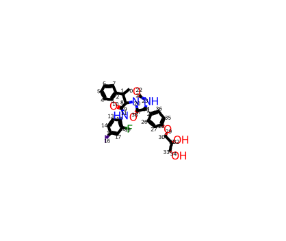 CC(c1ccccc1)C(C(=O)Nc1ccc(I)cc1F)N1C(=O)N[C@H](c2ccc(OCC(O)CO)cc2)C1=O